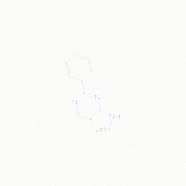 [c]1nc(-c2ccccc2)nc2[nH]ccc12